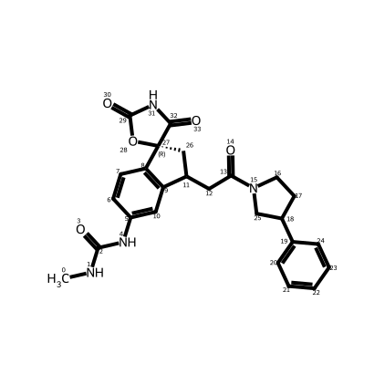 CNC(=O)Nc1ccc2c(c1)C(CC(=O)N1CCC(c3ccccc3)C1)C[C@@]21OC(=O)NC1=O